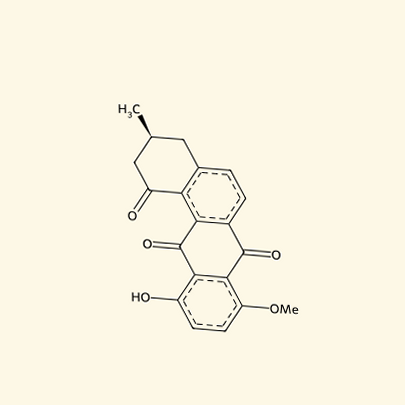 COc1ccc(O)c2c1C(=O)c1ccc3c(c1C2=O)C(=O)C[C@@H](C)C3